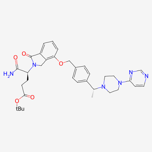 C[C@H](c1ccc(COc2cccc3c2CN([C@@H](CCC(=O)OC(C)(C)C)C(N)=O)C3=O)cc1)N1CCN(c2ccncn2)CC1